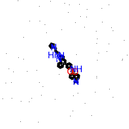 CN(C)c1cccc2c(S(=O)(=O)Nc3ccc(C4Cc5cnc(NCCCN6CCCC6)nc5-c5ccccc54)cc3)cccc12